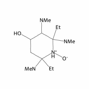 CCC1(NC)CC(O)C(NC)C(CC)(NC)[NH+]1[O-]